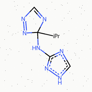 CC(C)C1(Nc2nc[nH]n2)N=CN=N1